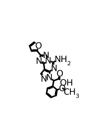 COc1ccccc1C(C(=O)O)n1ncc2c1nc(N)n1nc(-c3ccco3)nc21